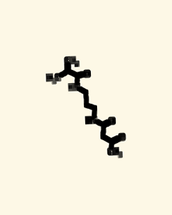 C=C(C)C(=O)NCCCNC(=O)CC(C)=O